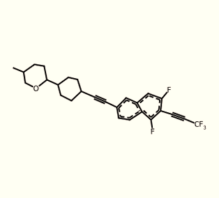 CC1CCC(C2CCC(C#Cc3ccc4c(F)c(C#CC(F)(F)F)c(F)cc4c3)CC2)OC1